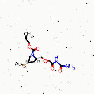 C=CCOC(=O)N1C[C@@H](SC(C)=O)C[C@H]1COCC(=O)NC(N)=O